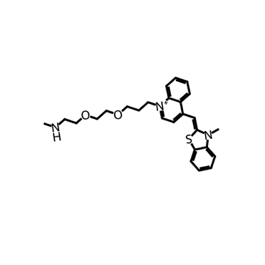 CNCCOCCOCCC[n+]1ccc(/C=C2\Sc3ccccc3N2C)c2ccccc21